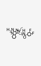 CCCn1nc2c(N)nc3ccccc3c2c1CC(C)(C)NC(=O)c1ccc(F)c(F)c1